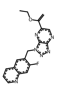 C=C(OCC)c1cnc2nnn(Cc3cc4cccnc4cc3F)c2n1